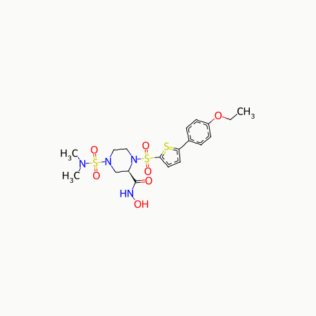 CCOc1ccc(-c2ccc(S(=O)(=O)N3CCN(S(=O)(=O)N(C)C)C[C@@H]3C(=O)NO)s2)cc1